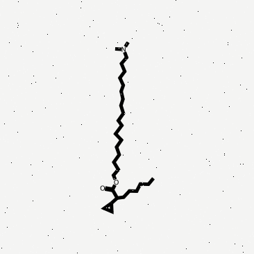 CCCCCCC(C(=O)OCCCCCCCCCCCCCCCCCCN(C)C)C1CC1